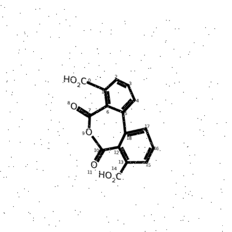 O=C(O)c1cccc2c1c(=O)oc(=O)c1c(C(=O)O)cccc12